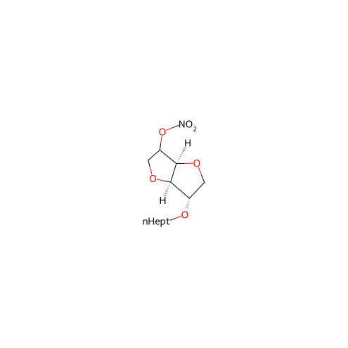 CCCCCCCO[C@H]1CO[C@@H]2C(O[N+](=O)[O-])CO[C@H]12